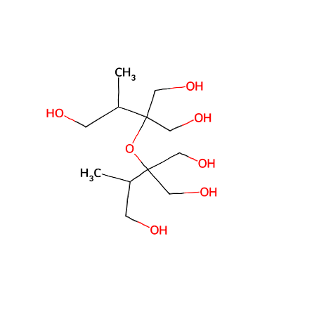 CC(CO)C(CO)(CO)OC(CO)(CO)C(C)CO